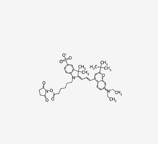 CC[N+](CC)=c1ccc2c(/C=C/C=C3/N(CCCCCC(=O)ON4C(=O)CCC4=O)c4ccc(S(=O)(=O)[O-])cc4C3(C)C)cc(C(C)(C)C)oc-2c1